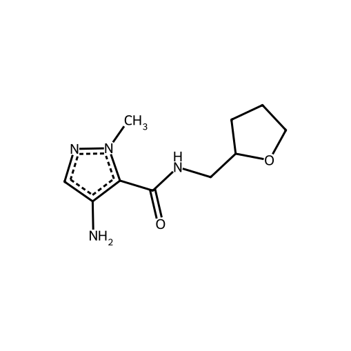 Cn1ncc(N)c1C(=O)NCC1CCCO1